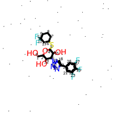 OCC1OC(SC2CCCC(F)(F)C2)C(O)C(n2cc(-c3cc(F)c(F)c(F)c3)nn2)C1O